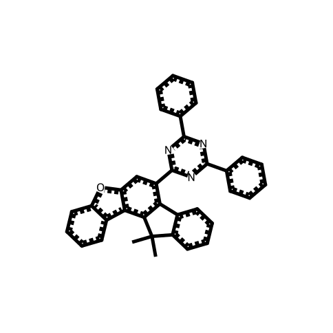 CC1(C)c2ccccc2-c2c(-c3nc(-c4ccccc4)nc(-c4ccccc4)n3)cc3oc4ccccc4c3c21